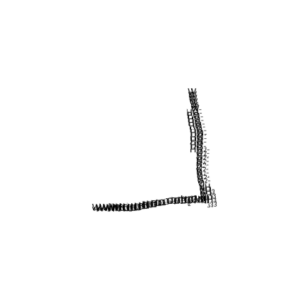 N.N.N.N.N.N.O.[O-2].[O-2].[O-2].[O-2].[O-2].[O-2].[O-2].[O-2].[O-2].[O-2].[O-2].[O-2].[O-2].[O-2].[O-2].[O-2].[O-2].[OH-].[OH-].[OH-].[OH-].[OH-].[OH-].[OH-].[OH-].[OH-].[OH-].[OH-].[OH-].[OH-].[OH-].[OH-].[OH-].[OH-].[OH-].[OH-].[OH-].[OH-].[OH-].[OH-].[W].[W].[W].[W].[W].[W].[W].[W].[W].[W].[W].[W]